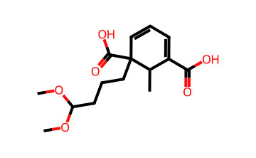 COC(CCCC1(C(=O)O)C=CC=C(C(=O)O)C1C)OC